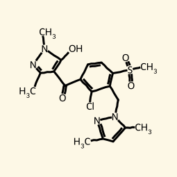 Cc1cc(C)n(Cc2c(S(C)(=O)=O)ccc(C(=O)c3c(C)nn(C)c3O)c2Cl)n1